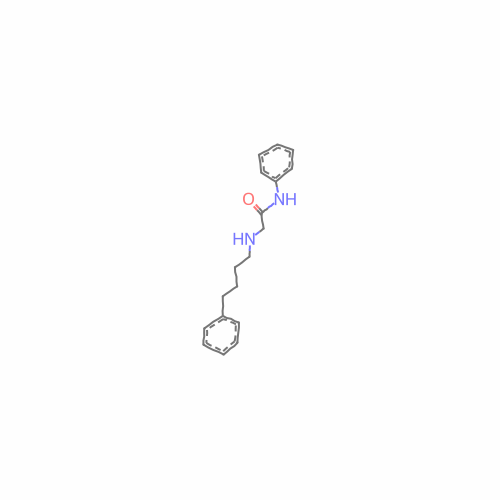 O=C(CNCCCCc1ccccc1)Nc1ccccc1